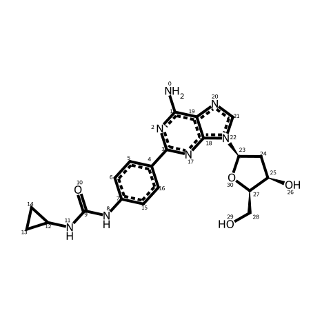 Nc1nc(-c2ccc(NC(=O)NC3CC3)cc2)nc2c1ncn2[C@H]1C[C@@H](O)[C@@H](CO)O1